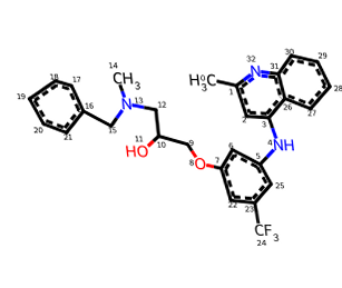 Cc1cc(Nc2cc(OCC(O)CN(C)Cc3ccccc3)cc(C(F)(F)F)c2)c2ccccc2n1